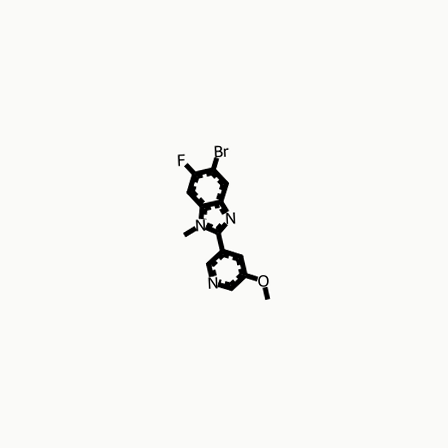 COc1cncc(-c2nc3cc(Br)c(F)cc3n2C)c1